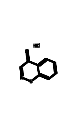 Cl.O=c1cnsc2ccccc12